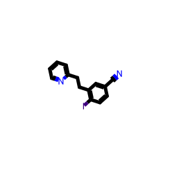 N#Cc1ccc(I)c(CCc2ccccn2)c1